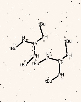 CC(C)(C)[PH][Pd]([PH]C(C)(C)C)[PH]C(C)(C)C.CC(C)(C)[PH][Pd]([PH]C(C)(C)C)[PH]C(C)(C)C